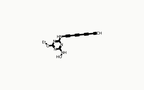 C#CC#CC#CC#CNc1nc(NO)nc(OCC)n1